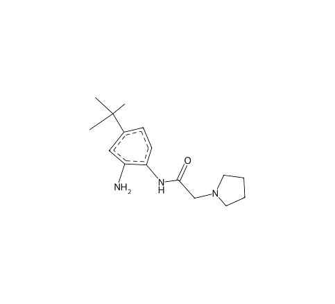 CC(C)(C)c1ccc(NC(=O)CN2CCCC2)c(N)c1